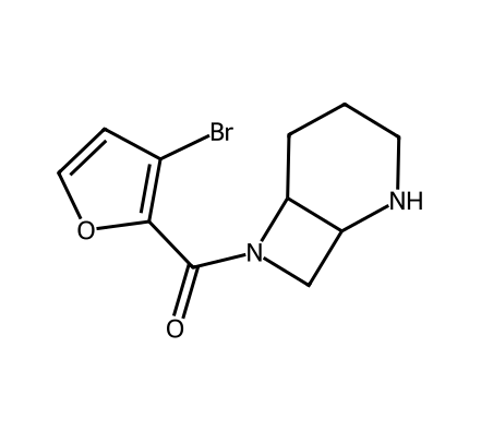 O=C(c1occc1Br)N1CC2NCCCC21